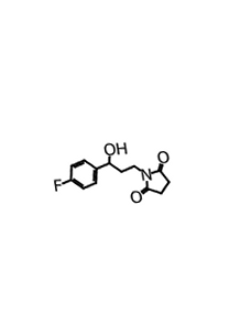 O=C1CCC(=O)N1CCC(O)c1ccc(F)cc1